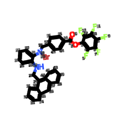 O=C(Oc1c(F)c(F)c(F)c(F)c1F)c1ccc(CN(Br)c2ccccc2NCc2c3ccccc3cc3ccccc23)cc1